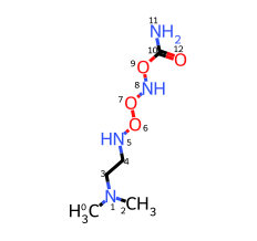 CN(C)CCNOONOC(N)=O